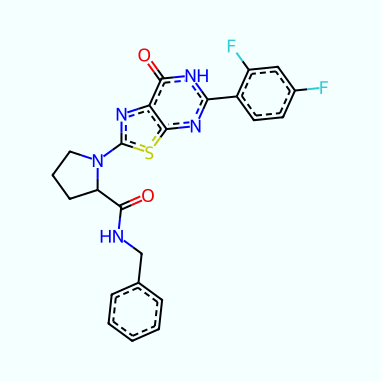 O=C(NCc1ccccc1)C1CCCN1c1nc2c(=O)[nH]c(-c3ccc(F)cc3F)nc2s1